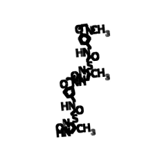 CC1=CNC(OC2COc3ccc(CNC(=O)CSc4nc(=O)[nH]cc4C)cc3N2)N=C1SCC(=O)NCc1ccc2c(c1)N(C)CCO2